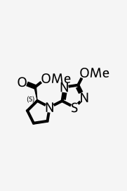 COC(=O)[C@@H]1CCCN1c1nc(OC)ns1